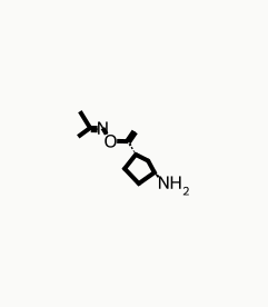 C=C(ON=C(C)C)[C@H]1CC[C@@H](N)C1